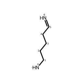 [NH]CCCCC=N